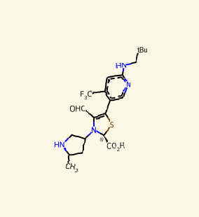 CC1CC(N2C(C=O)=C(c3cnc(NCC(C)(C)C)cc3C(F)(F)F)S[C@H]2C(=O)O)CN1